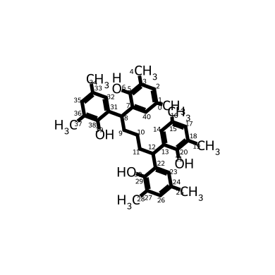 Cc1cc(C)c(O)c(C(CCCC(c2cc(C)cc(C)c2O)c2cc(C)cc(C)c2O)c2cc(C)cc(C)c2O)c1